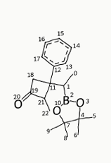 CC(B1OC(C)(C)C(C)(C)O1)C1(c2ccccc2)CC(=O)C1C